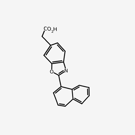 O=C(O)Cc1ccc2nc(-c3cccc4ccccc34)oc2c1